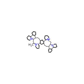 C=C1CC2C(CCc3cc4c(cc3-c3cccc[n+]31)CCC1c3ccccc3-c3cccc[n+]3C1CC[n+]1ccccc1-4)c1ccccc1-c1cccc[n+]12